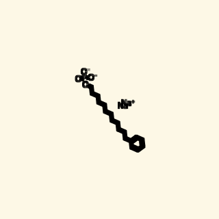 O=P([O-])([O-])OCCCCCCCCCCCCc1ccccc1.[Na+].[Na+]